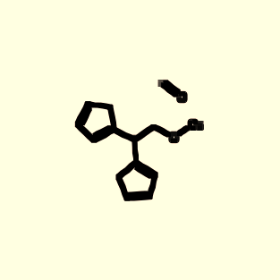 [C]=O.[Os][O]C[C](C1=CC=CC1)C1=CC=CC1